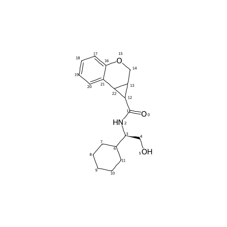 O=C(N[C@@H](CO)C1CCCCC1)C1C2COc3ccccc3C21